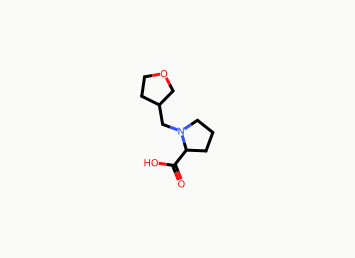 O=C(O)C1CCCN1CC1CCOC1